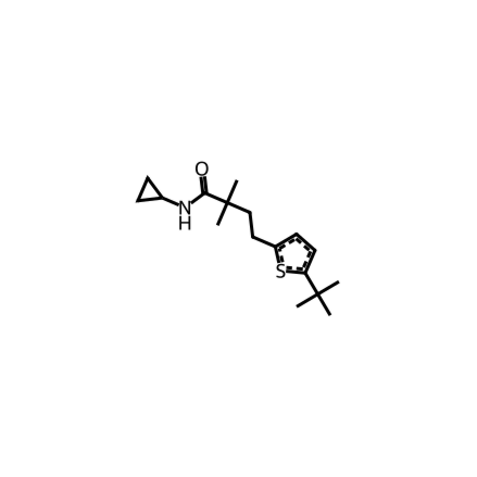 CC(C)(CCc1ccc(C(C)(C)C)s1)C(=O)NC1CC1